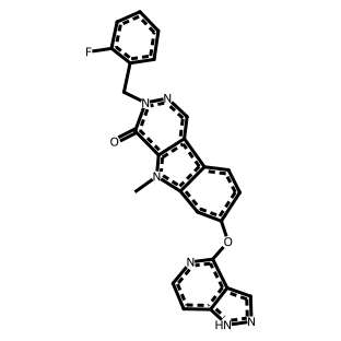 Cn1c2cc(Oc3nccc4[nH]ncc34)ccc2c2cnn(Cc3ccccc3F)c(=O)c21